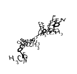 Cc1ncsc1-c1ccc(CNC(=O)[C@@H]2CCCN2C(=O)C(NC(=O)COCCOc2ncc(N3C(=S)N(c4ccc(C#N)c(C(F)(F)F)c4F)C(=O)C3(C)C)cc2C(F)(F)F)C(C)(C)C)cc1